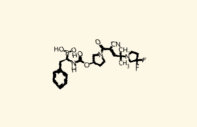 CC(C)(C=C(C#N)C(=O)N1CC[C@@H](OC(=O)N[C@@H](Cc2ccccc2)B(O)O)C1)N1CCC(F)(F)C1